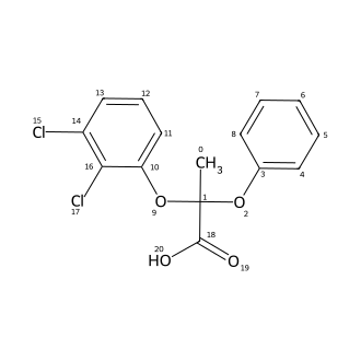 CC(Oc1ccccc1)(Oc1cccc(Cl)c1Cl)C(=O)O